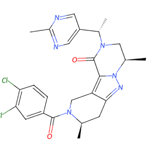 Cc1ncc([C@H](C)N2C[C@@H](C)n3nc4c(c3C2=O)CN(C(=O)c2ccc(Cl)c(Cl)c2)[C@H](C)C4)cn1